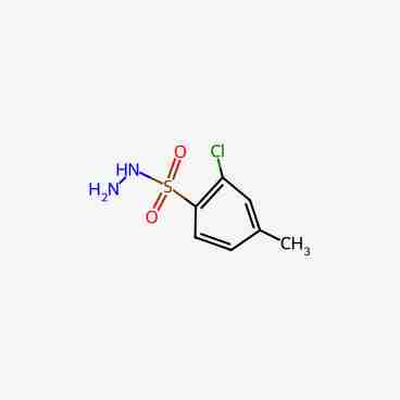 Cc1ccc(S(=O)(=O)NN)c(Cl)c1